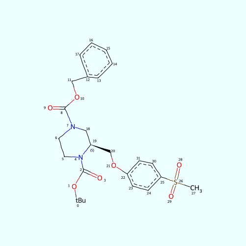 CC(C)(C)OC(=O)N1CCN(C(=O)OCc2ccccc2)C[C@H]1COc1ccc(S(C)(=O)=O)cc1